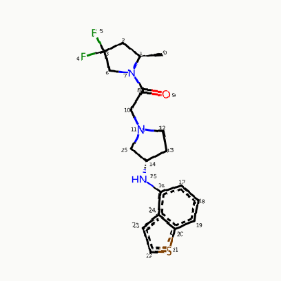 C[C@@H]1CC(F)(F)CN1C(=O)CN1CC[C@H](Nc2cccc3sccc23)C1